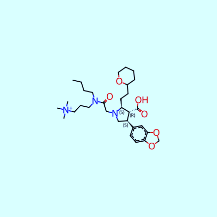 CCCCN(CCC[N+](C)(C)C)C(=O)CN1C[C@H](c2ccc3c(c2)OCO3)[C@@H](C(=O)O)[C@@H]1CCC1CCCCO1